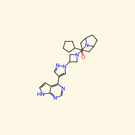 O=C(C1CCCC1)N1C2CCC1CC(N1C[C](n3cc(-c4ncnc5[nH]ccc45)cn3)C1)C2